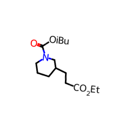 CCOC(=O)CCC1CCCN(C(=O)OCC(C)C)C1